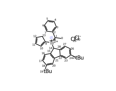 C/[C](c1ccccc1)=[Ti+2](/[C]1=CC=CC1)[CH]1c2ccc(C(C)(C)C)cc2-c2cc(C(C)(C)C)ccc21.[Cl-].[Cl-]